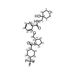 O=C(NCC1(O)CCOCC1)c1ncccc1OC[C@H]1CCCN1C(=O)C1CCC(C(F)(F)F)CC1